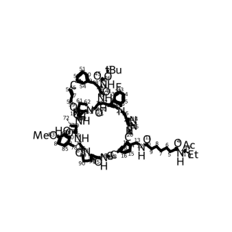 CC[C@@H](NC(=O)CCCCCC(=O)NCc1ccc2cc1Cn1cc(nn1)Cn1cc(c3cc(F)ccc31)C[C@@H]1NC(=O)[C@@H](NC(=O)OC(C)(C)C)Cc3cccc(c3)C/C=C/CO[C@H]3CCN(C1=O)[C@@H]3C(=O)N[C@@H]([C@@H](C)O)C(=O)N[C@@H](Cc1ccc(OC)cc1)C(=O)N1CCC[C@@]1(C)C(=O)NCC2)C(C)=O